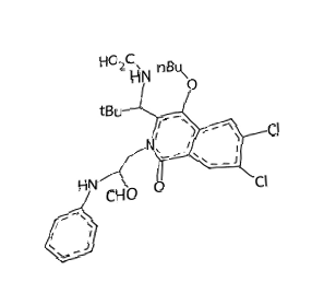 CCCCOc1c(C(NC(=O)O)C(C)(C)C)n(CC(C=O)Nc2ccccc2)c(=O)c2cc(Cl)c(Cl)cc12